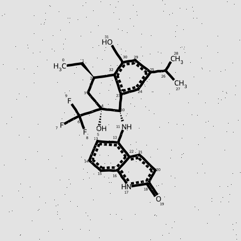 CC[C@@H]1C[C@](O)(C(F)(F)F)[C@@H](Nc2cccc3[nH]c(=O)ccc23)c2cc(C(C)C)cc(O)c21